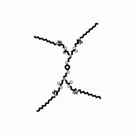 CCCCCCCCCCCCn1cc(CCOC(=O)CCN(CCCO[C@H]2CC[C@H](OCCCN(CCC(=O)OCCc3cn(CCCCCCCCCCCC)nn3)CCC(=O)OCCc3cn(CCCCCCCCCCCC)nn3)CC2)CCC(=O)OCCc2cn(CCCCCCCCCCCC)nn2)nn1